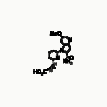 COc1cnc2cc(C(N)=O)n(-c3cccc([C@@H]4C[C@H]4C(=O)O)n3)c2c1